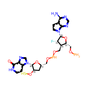 Nc1ncnc2c1ccn2[C@@H]1O[C@H](COP)[C@@H](COPOC[C@@H]2C[C@@H](OS)[C@H](n3cnc4c(=O)[nH]ccc43)O2)[C@@H]1F